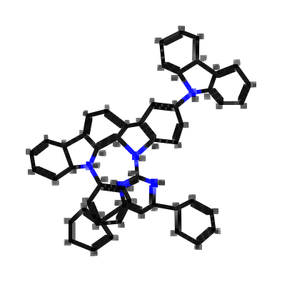 C1=CC2c3ccc4c5cc(-n6c7ccccc7c7ccccc76)ccc5n(-c5nc(-c6ccccc6)cc(-c6ccccc6)n5)c4c3N(c3ccccc3)C2C=C1